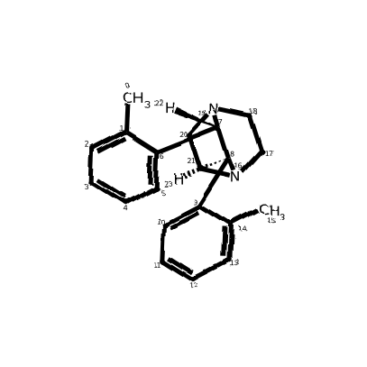 Cc1ccccc1[C@H]1[C@H](c2ccccc2C)N2CCN1CC2